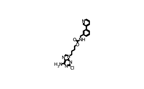 Nc1nc(Cl)nc2c1ncn2CCCCOC(=O)NCc1cccc(-c2cccnc2)c1